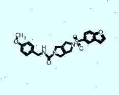 COc1ccc(CNC(=O)N2CC3=C(C2)CN(S(=O)(=O)c2ccc4occc4c2)C3)cc1